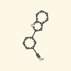 C#Cc1cccc(-c2cc3ccccc3o2)c1